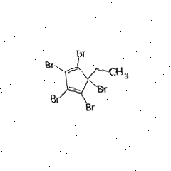 CCC1(Br)C(Br)=C(Br)C(Br)=C1Br